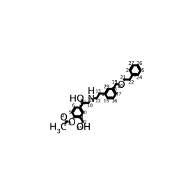 CC(=O)Oc1ccc([C@@H](O)CNCCc2cccc(COCCc3ccccc3)c2)cc1CO